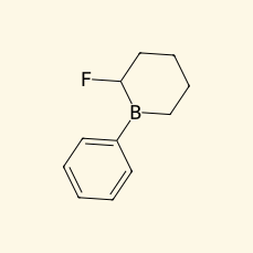 FC1CCCCB1c1ccccc1